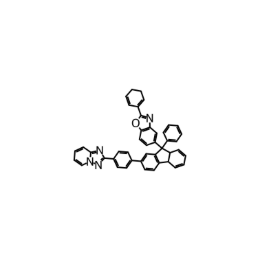 C1=CC2c3ccc(-c4ccc(-c5nc6ccccn6n5)cc4)cc3C(c3ccccc3)(c3ccc4oc(C5=CCCC=C5)nc4c3)C2C=C1